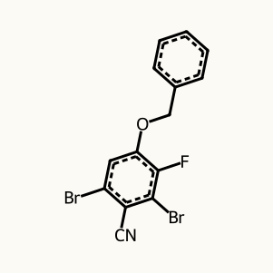 N#Cc1c(Br)cc(OCc2ccccc2)c(F)c1Br